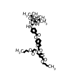 CCCCOC(=O)CN(Cc1csc(C(=O)OCCCC)c1)C(=O)c1cc2ccc(OC(=O)c3ccc(N/C(=N/C(=O)OC(C)(C)C)NC(=O)OC(C)(C)C)cc3)cc2s1